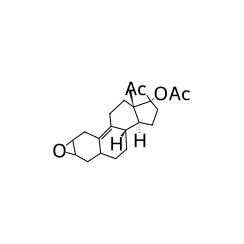 CC(=O)O[C@]1(C(C)=O)CC[C@H]2[C@@H]3CCC4CC5OC5CC4=C3CC[C@@]21C